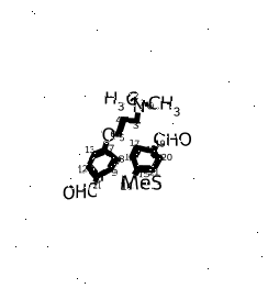 CN(C)CCCOc1ccc(C=O)cc1.CSc1ccc(C=O)cc1